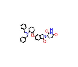 O=C1CCC(N2Cc3cc(O[C@@H]4CCCC[C@@H]4N(Cc4ccccc4)Cc4ccccc4)ccc3C2=O)C(=O)N1